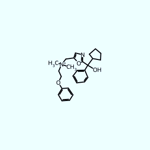 C[N+](C)(CCOc1ccccc1)Cc1cnc(C(O)(c2ccccc2)C2CCCC2)o1